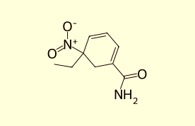 CCC1([N+](=O)[O-])C=CC=C(C(N)=O)C1